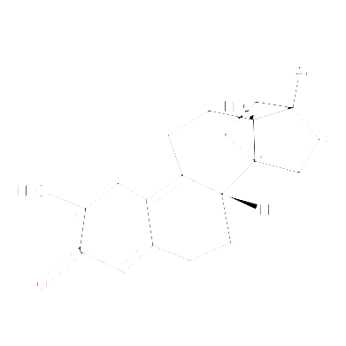 CC(=O)C12CCC3(CC1)[C@@H]1CCC4=CC(=O)C(C)CC4=C1CC[C@]23C